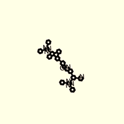 c1ccc(-c2nc(-c3ccccc3)nc(-c3cc(-c4cccnc4)cc(-c4ccc5nc6c(cc5c4)oc4cc(-c5ccc7c(c5)c5ccccc5c5cc(-c8nc(-c9ccccc9)nc(-c9ccccc9)n8)c8ccccc8c75)ccc46)c3)n2)cc1